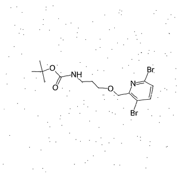 CC(C)(C)OC(=O)NCCCOCc1nc(Br)ccc1Br